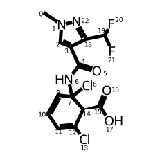 Cn1cc(C(=O)NC2(Cl)C=CC=C(Cl)[C@@H]2C(=O)O)c(C(F)F)n1